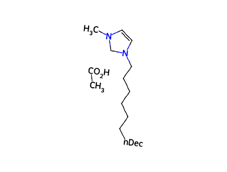 CC(=O)O.CCCCCCCCCCCCCCCCN1C=CN(C)C1